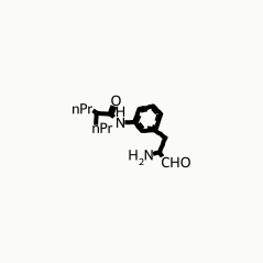 CCCC(CCC)C(=O)Nc1cccc(CC(N)C=O)c1